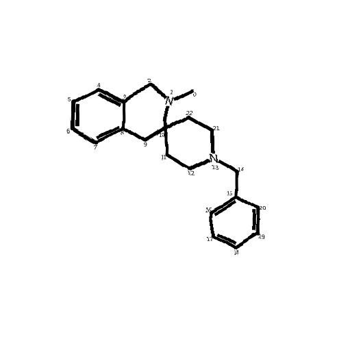 CN1Cc2ccccc2CC12CCN(Cc1ccccc1)CC2